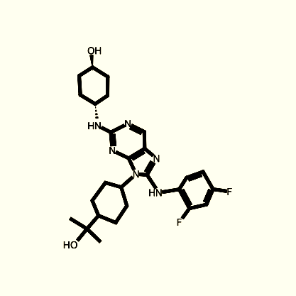 CC(C)(O)C1CCC(n2c(Nc3ccc(F)cc3F)nc3cnc(N[C@H]4CC[C@H](O)CC4)nc32)CC1